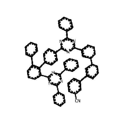 N#Cc1cccc(-c2cccc(-c3cccc(-c4nc(-c5ccccc5)nc(-c5ccc(-c6c(-c7ccccc7)cccc6-c6nc(-c7ccccc7)nc(-c7ccccc7)n6)cc5)n4)c3)c2)c1